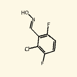 O/N=C/c1c(F)ccc(F)c1Cl